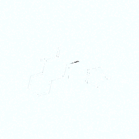 O=C1Nc2ccccc2N[C@@H]1Cc1c[nH]cn1